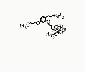 CCCCOc1ccc(CCCN)c(OCCCC(C)(C)[Si](C)(C)O)c1